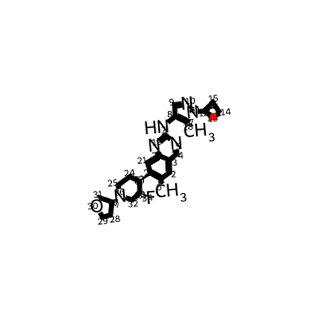 Cc1cc2cnc(Nc3cnn(C45CC(C4)C5)c3C)nc2cc1[C@@H]1CCN([C@@H]2CCOC2)C[C@H]1F